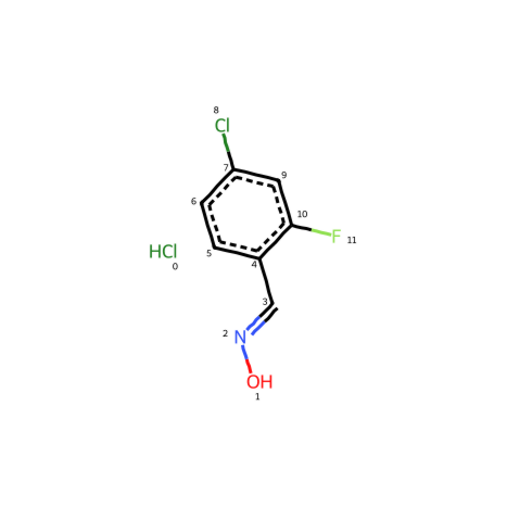 Cl.ON=Cc1ccc(Cl)cc1F